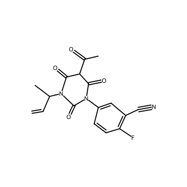 C=CC(C)N1C(=O)C(C(C)=O)C(=O)N(c2ccc(F)c(C#N)c2)C1=O